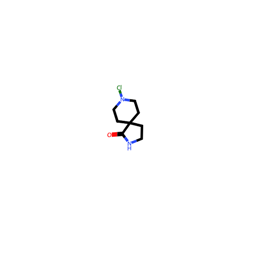 O=C1NCCC12CCN(Cl)CC2